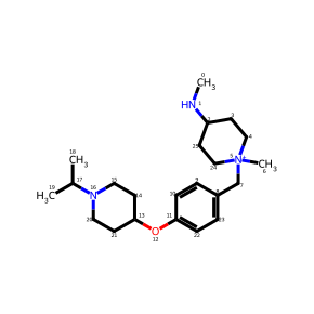 CNC1CC[N+](C)(Cc2ccc(OC3CCN(C(C)C)CC3)cc2)CC1